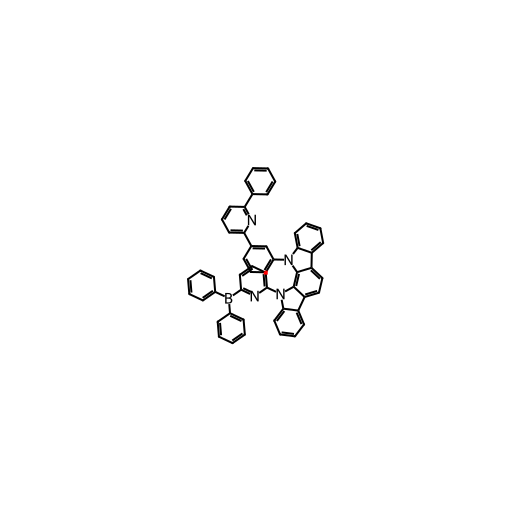 c1ccc(B(c2ccccc2)c2cccc(-n3c4ccccc4c4ccc5c6ccccc6n(-c6cccc(-c7cccc(-c8ccccc8)n7)c6)c5c43)n2)cc1